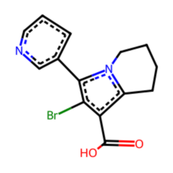 O=C(O)c1c(Br)c(-c2cccnc2)n2c1CCCC2